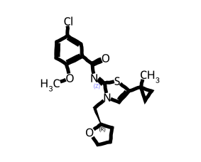 COc1ccc(Cl)cc1C(=O)/N=c1\sc(C2(C)CC2)cn1C[C@H]1CCCO1